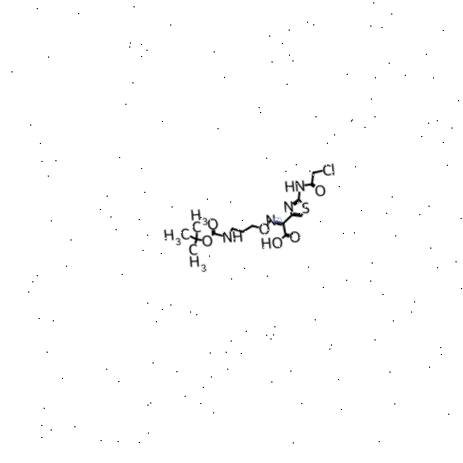 CC(C)(C)OC(=O)NCCCO/N=C(\C(=O)O)c1csc(NC(=O)CCl)n1